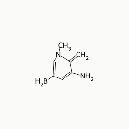 BC1=CN(C)C(=C)C(N)=C1